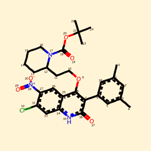 Cc1cc(C)cc(-c2c(OCCC3CCCCN3C(=O)OC(C)(C)C)c3cc([N+](=O)[O-])c(Cl)cc3[nH]c2=O)c1